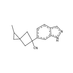 CC1CC12CC(C#N)(c1ccc3cn[nH]c3c1)C2